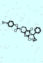 Cc1nc2c(c(=O)n1C(c1ccccc1)C1CC1)CCN(C(=O)Oc1ccc(Br)cc1)C2